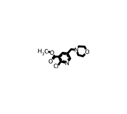 COC(=O)c1cc(CN2CCOCC2)cnc1Cl